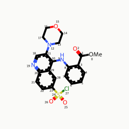 COC(=O)c1ccccc1Nc1c(N2CCOCC2)cnc2ccc(S(=O)(=O)Cl)cc12